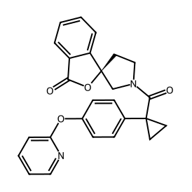 O=C1O[C@]2(CCN(C(=O)C3(c4ccc(Oc5ccccn5)cc4)CC3)C2)c2ccccc21